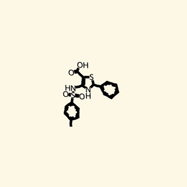 Cc1ccc(S(=O)(=O)NC2=C(C(=O)O)SC(c3ccccc3)N2)cc1